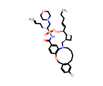 C=CCC[C@H](CN1CCOCC1)S(=O)(=O)NC(=O)c1ccc2c(c1)N(C[C@@H]1CC[C@H]1[C@@H](O)/C=C/CCC)CCCCc1cc(Cl)ccc1CO2